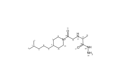 CC(C)CCCC1CCN(C(=O)CNC(C)C(=O)NN)CC1